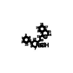 Cl.c1ccc(C2CCNC(CCC3OCCc4ccccc43)C2)cc1